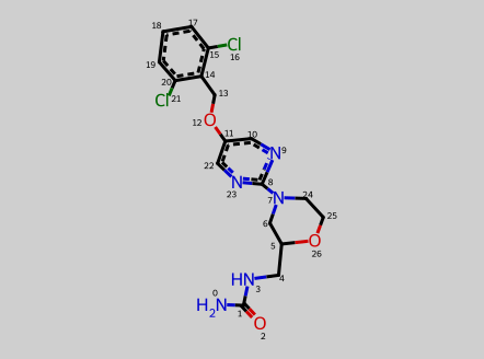 NC(=O)NCC1CN(c2ncc(OCc3c(Cl)cccc3Cl)cn2)CCO1